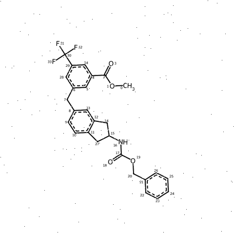 COC(=O)c1cc(Cc2ccc3c(c2)CC(NC(=O)OCc2ccccc2)C3)cc(C(F)(F)F)c1